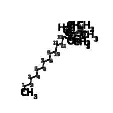 CCCCCCCCCCCCCC[Si](OC)(OC)C(C)(C)C(C)C